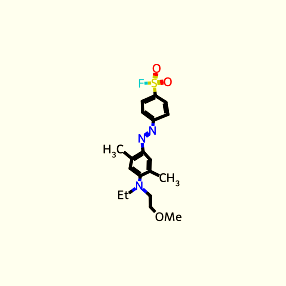 CCN(CCOC)c1cc(C)c(N=Nc2ccc(S(=O)(=O)F)cc2)cc1C